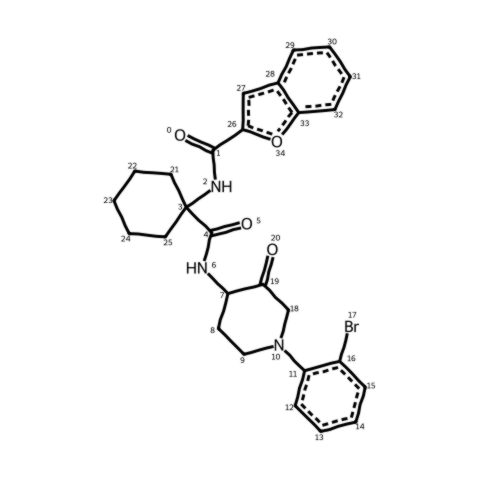 O=C(NC1(C(=O)NC2CCN(c3ccccc3Br)CC2=O)CCCCC1)c1cc2ccccc2o1